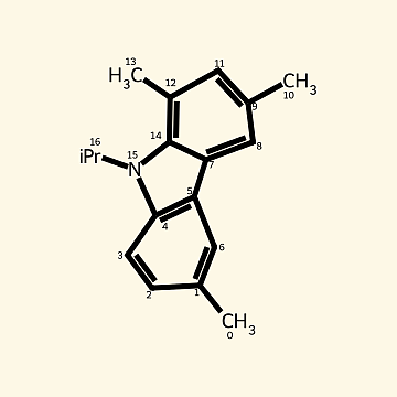 Cc1ccc2c(c1)c1cc(C)cc(C)c1n2C(C)C